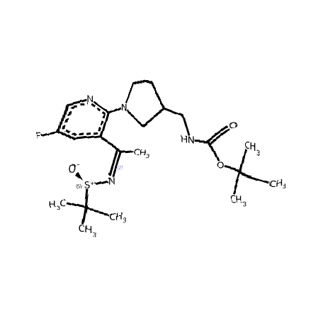 C/C(=N/[S@+]([O-])C(C)(C)C)c1cc(F)cnc1N1CCC(CNC(=O)OC(C)(C)C)C1